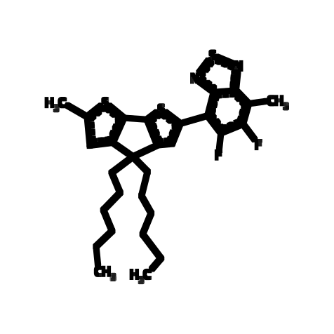 CCCCCCC1(CCCCCC)c2cc(C)sc2-c2sc(-c3c(F)c(F)c(C)c4nsnc34)cc21